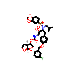 CC(C)CN(C(Cc1ccc(OCc2cccc(F)c2)cc1)[C@H](O)CNC(=O)O[C@H]1CO[C@H]2OCC[C@H]21)S(=O)(=O)c1ccc2c(c1)OCO2